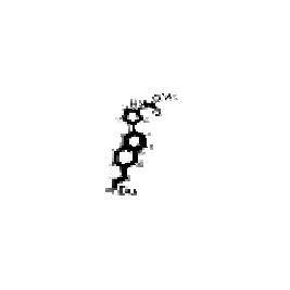 CCCC/C=C/C1CCc2cc([C@H]3CC[C@@H](NC(=O)OC)C3)ccc2C1